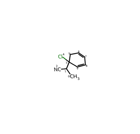 CC(C#N)C1(Cl)[CH]C=CC=C1